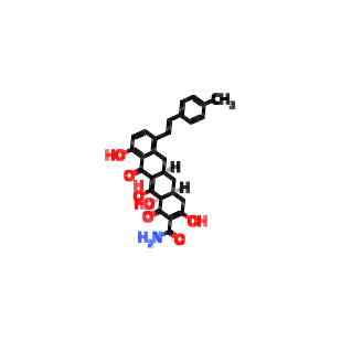 Cc1ccc(/C=C/c2ccc(O)c3c2C[C@H]2C[C@H]4CC(O)=C(C(N)=O)C(=O)[C@@]4(O)C(O)=C2C3=O)cc1